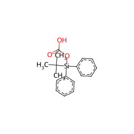 CC(C)(C)[Si](OC(=O)O)(c1ccccc1)c1ccccc1